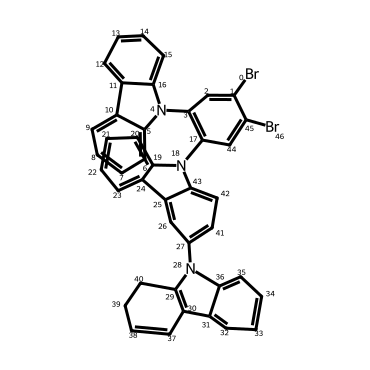 Brc1cc(-n2c3ccccc3c3ccccc32)c(-n2c3ccccc3c3cc(-n4c5c(c6ccccc64)C=CCC5)ccc32)cc1Br